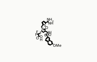 COc1ccc2ccc(S(=O)(=O)NC3CCN(Cc4ccc(C(=N)N)s4)C3=O)cc2c1.O=C(O)C(F)(F)F